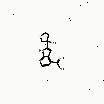 N=C(N)c1ccnc2[nH]c(C3(O)CCSC3)cc12